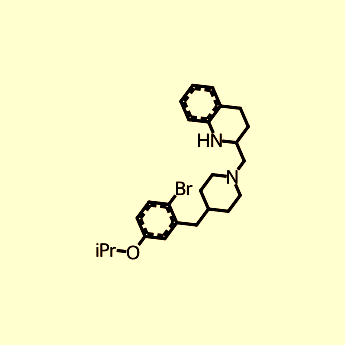 CC(C)Oc1ccc(Br)c(CC2CCN(CC3CCc4ccccc4N3)CC2)c1